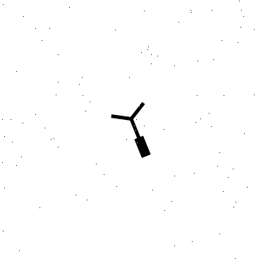 C#C[C](C)C